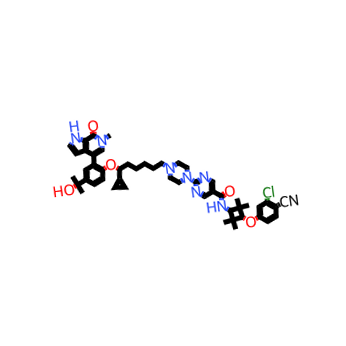 Cn1cc(-c2cc(C(C)(C)O)ccc2OC(CCCCCN2CCN(c3ncc(C(=O)NC4C(C)(C)C(Oc5ccc(C#N)c(Cl)c5)C4(C)C)cn3)CC2)C2CC2)c2cc[nH]c2c1=O